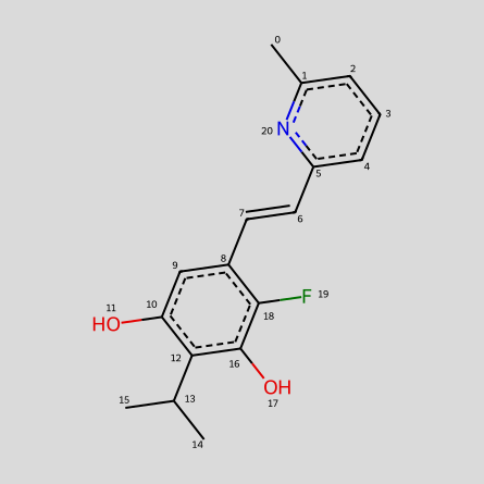 Cc1cccc(C=Cc2cc(O)c(C(C)C)c(O)c2F)n1